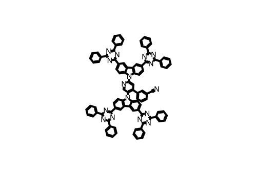 N#Cc1cccc(-c2cc(-n3c4ccc(-c5nc(-c6ccccc6)nc(-c6ccccc6)n5)cc4c4cc(-c5nc(-c6ccccc6)nc(-c6ccccc6)n5)ccc43)ncc2-n2c3ccc(-c4nc(-c5ccccc5)nc(-c5ccccc5)n4)cc3c3cc(-c4nc(-c5ccccc5)nc(-c5ccccc5)n4)ccc32)c1